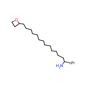 CCCC(N)CCCCCCCCCCCCCC1CCO1